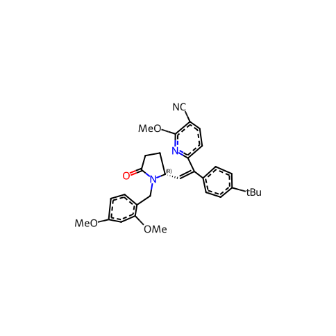 COc1ccc(CN2C(=O)CC[C@@H]2C=C(c2ccc(C(C)(C)C)cc2)c2ccc(C#N)c(OC)n2)c(OC)c1